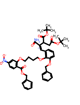 CC(C)(C)OC(=O)CC(C(=O)OC(C)(C)C)/C(=C\c1cccc(OCc2ccccc2)c1OCCCCOc1cc([N+](=O)[O-])ccc1C(=O)OCc1ccccc1)C(N)=O